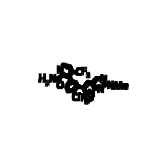 CNc1ncc2c(n1)N1CCN=C1C(c1cc(-c3c(C(F)(F)F)ccnc3C(N)=O)ccc1Cl)=C2